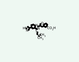 CN(C)CCSc1nc(C2COc3ccc(C(=O)O)cc3C2)nc2ccc(C3C=NNC3)cc12